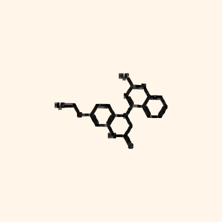 C=COc1ccc2c(c1)NC(=O)CN2c1nc(C)nc2ccccc12